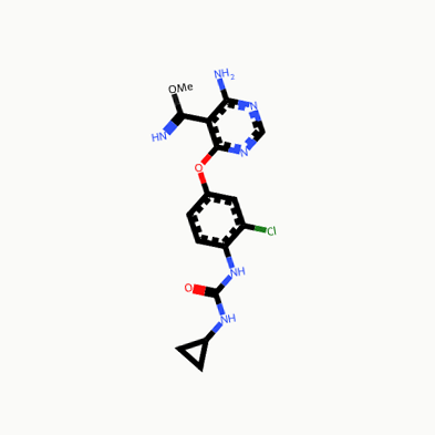 COC(=N)c1c(N)ncnc1Oc1ccc(NC(=O)NC2CC2)c(Cl)c1